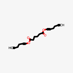 C#CCCC#COC(=O)CCCCC(=O)OC#CCCC#C